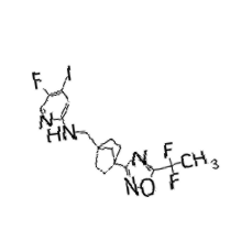 CC(F)(F)c1nc(C23CCC(CNc4cc(I)c(F)cn4)(CC2)C3)no1